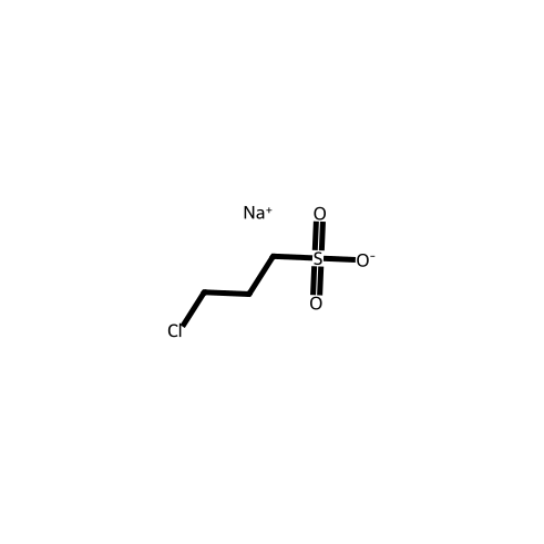 O=S(=O)([O-])CCCCl.[Na+]